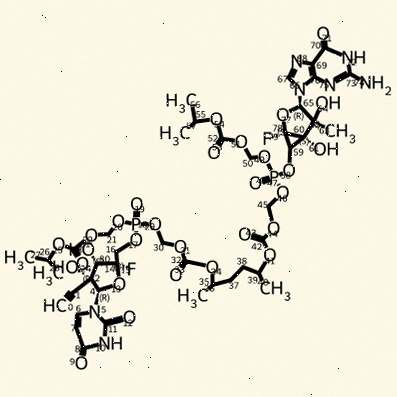 C#C[C@]1(O)[C@H](n2ccc(=O)[nH]c2=O)O[C@](F)(COP(=O)(OCOC(=O)OC(C)C)OCOC(=O)OC(C)CCC(C)OC(=O)OCOP(=O)(OCOC(=O)OC(C)C)OC2[C@]3(O)[C@@](C)(O)[C@H](n4cnc5c(=O)[nH]c(N)nc54)O[C@]23F)[C@H]1O